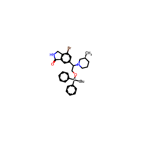 C[C@H]1CCCN(C(CO[Si](c2ccccc2)(c2ccccc2)C(C)(C)C)c2cc(Br)c3c(c2)C(=O)NC3)C1